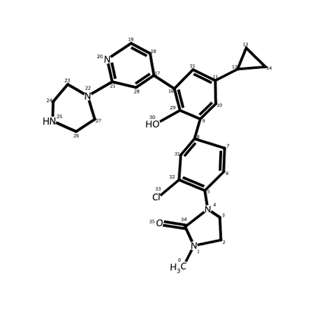 CN1CCN(c2ccc(-c3cc(C4CC4)cc(-c4ccnc(N5CCNCC5)c4)c3O)cc2Cl)C1=O